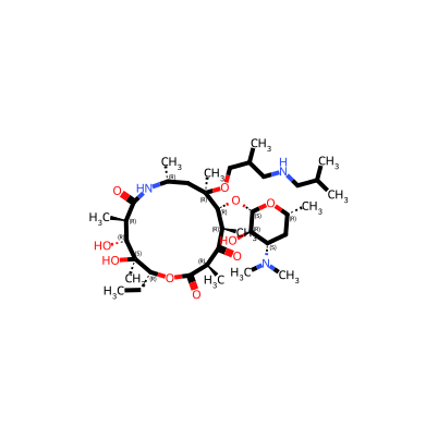 CC[C@H]1OC(=O)[C@H](C)C(=O)[C@H](C)[C@@H](O[C@@H]2O[C@H](C)C[C@H](N(C)C)[C@H]2O)[C@](C)(OCC(C)CNCC(C)C)C[C@@H](C)NC(=O)[C@H](C)[C@@H](O)[C@]1(C)O